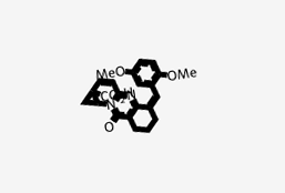 COc1ccc(OC)c(/C=C2/CCCc3c2nc2n(c3=O)C3CC3(C(=O)O)C=C2)c1